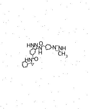 C[C@H]1CN(c2ccc(C(=O)Nc3n[nH]c4ccc(C(=O)NC5(c6ccccc6)CC5)cc34)cc2)CCN1